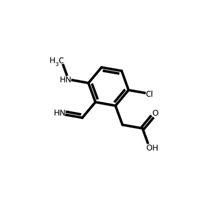 CNc1ccc(Cl)c(CC(=O)O)c1C=N